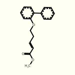 COC(=O)C=CCCOc1ccccc1-c1ccccc1